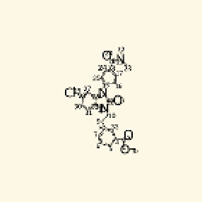 COC(=O)c1cccc(CCn2c(=O)n(-c3ccc(C(=O)N(C)C)cc3)c3cc(Cl)ccc32)c1